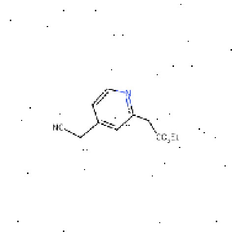 CCOC(=O)Cc1cc(CC#N)ccn1